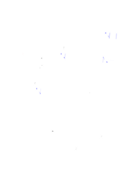 NNc1nc(=O)[nH]c2ccccc12